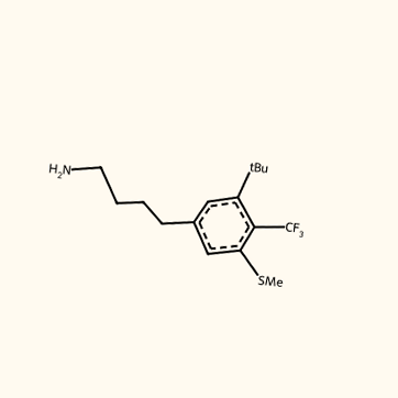 CSc1cc(CCCCN)cc(C(C)(C)C)c1C(F)(F)F